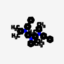 Cc1cc(C)cc(N(c2ccc(-c3ccccc3)cc2)c2ccc3c(c2)c2cc(N(c4ccc(-c5ccccc5)cc4)c4ccc(C)cc4C)cc4c2n3-c2ccccc2C4(C)C)c1